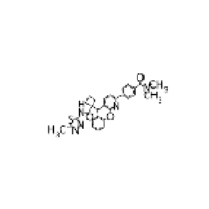 Cc1nnc(NC(=O)C2(C3c4ccccc4Oc4nc(-c5ccc(C(=O)N(C)C)cc5)ccc43)CCC2)s1